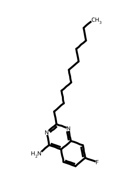 CCCCCCCCCCc1nc(N)c2ccc(F)cc2n1